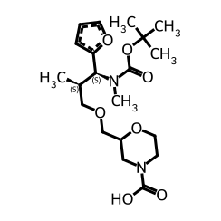 C[C@H](COCC1CN(C(=O)O)CCO1)[C@@H](c1ccco1)N(C)C(=O)OC(C)(C)C